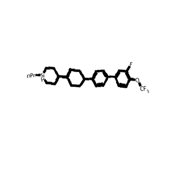 CCC[SiH]1CCC(C2CCC(c3ccc(-c4ccc(OC(F)(F)F)c(F)c4)cc3)CC2)CC1